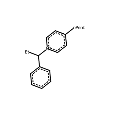 CCCCCc1cc[n+](C(CC)c2ccccc2)cc1